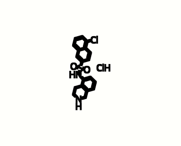 Cl.O=S(=O)(Nc1cccc2c1CCNC2)c1ccc2c(Cl)cccc2c1